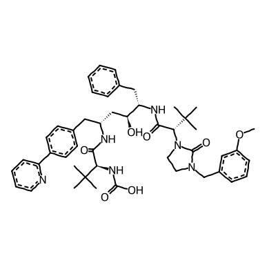 COc1cccc(CN2CCN([C@H](C(=O)N[C@@H](Cc3ccccc3)[C@@H](O)C[C@@H](Cc3ccc(-c4ccccn4)cc3)NC(=O)[C@@H](NC(=O)O)C(C)(C)C)C(C)(C)C)C2=O)c1